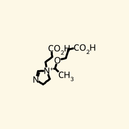 CC(OCCC(=O)O)[N+]1(CCC(=O)O)C=NCC1